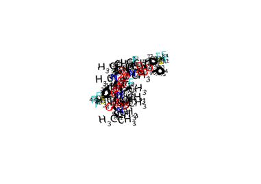 C[C@@H](OC(=O)[C@H](CC(C)(C)C)N(C)C(=O)OC(C)(C)C)C(=O)N(C)[C@@H](CC(C)(C)F)C(=O)O[C@H](Cc1ccc(SC(F)(F)F)cc1)C(=O)N(C)[C@@H](CC(C)(C)C)C(=O)O[C@H](C)C(=O)N(C)[C@@H](CC(C)(C)F)C(=O)O[C@H](Cc1ccc(SC(F)(F)F)cc1)C(=O)OCc1ccccc1